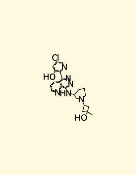 CC1(O)CC(N2CCCC(Nc3nnc(-c4ncc(Cl)cc4O)c4cccnc34)C2)C1